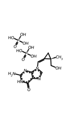 C[C@]1(CO)C/C1=C/n1cnc2c(=O)[nH]c(N)nc21.O=P(O)(O)O.O=P(O)(O)O